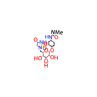 CNC(=O)Nc1ccc(O[C@H]2O[C@H](CN3CC(=O)NS3(=O)=O)[C@@H](O)[C@H](O)[C@@H]2O)cc1